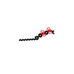 CCCCCCCCCCCCCc1ccc(-c2ccc(C(=O)Oc3ccc(C(=O)OCC(C)CC)cc3)cc2)cc1